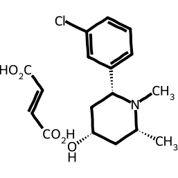 C[C@@H]1C[C@H](O)C[C@H](c2cccc(Cl)c2)N1C.O=C(O)C=CC(=O)O